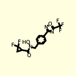 O=C(C1CC1(F)F)N(O)Cc1ccc(-c2noc(C(F)(F)F)n2)cc1